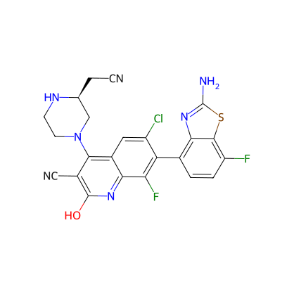 N#CC[C@H]1CN(c2c(C#N)c(O)nc3c(F)c(-c4ccc(F)c5sc(N)nc45)c(Cl)cc23)CCN1